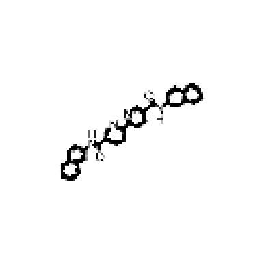 O=C(Nc1ccc2ccccc2c1)c1ccc(-c2ccc(C(=O)Nc3ccc4ccccc4c3)cn2)nc1